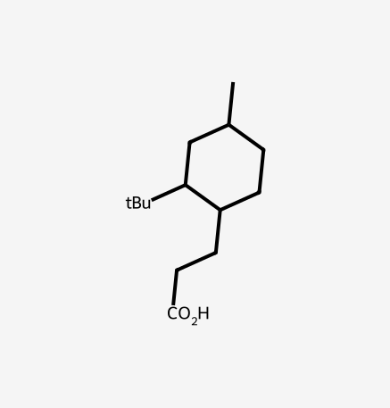 CC1CCC(CCC(=O)O)C(C(C)(C)C)C1